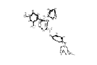 CCN(CC)Cc1ccc(OC[C@@H]2CO[C@@](Cn3ccnc3)(c3ccc(Cl)cc3Cl)O2)cc1